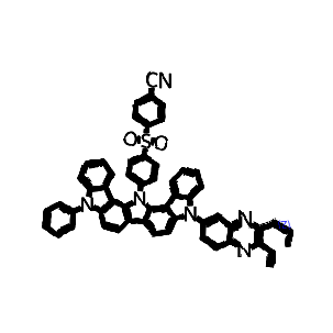 C=Cc1nc2ccc(-n3c4ccccc4c4c3ccc3c5ccc6c(c7ccccc7n6-c6ccccc6)c5n(-c5ccc(S(=O)(=O)c6ccc(C#N)cc6)cc5)c34)cc2nc1/C=C\C